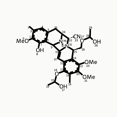 COc1c(C)cc2c(c1O)C1C3=Cc4c(OC(C)O)c(C)c(OC)c(OC)c4[C@H](COC(C)O)N3[C@@H](C#N)C(C2)N1C